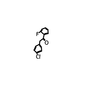 O=C(Cc1ccc(Cl)cc1)c1ccccc1F